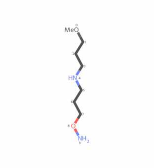 COCCCNCCCON